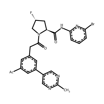 CC(=O)c1cc(CC(=O)N2C[C@H](F)C[C@H]2C(=O)Nc2cccc(Br)n2)cc(-c2cnc(C)nc2)c1